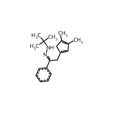 CC1=C(C)CC(CC(=NNC(C)(C)C)c2ccccc2)=C1